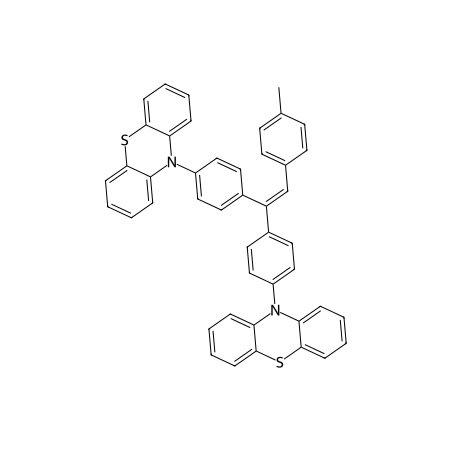 Cc1ccc(C=C(c2ccc(N3c4ccccc4Sc4ccccc43)cc2)c2ccc(N3c4ccccc4Sc4ccccc43)cc2)cc1